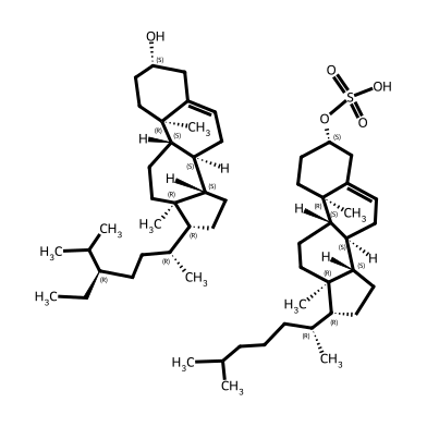 CC(C)CCC[C@@H](C)[C@H]1CC[C@H]2[C@@H]3CC=C4C[C@@H](OS(=O)(=O)O)CC[C@]4(C)[C@H]3CC[C@]12C.CC[C@H](CC[C@@H](C)[C@H]1CC[C@H]2[C@@H]3CC=C4C[C@@H](O)CC[C@]4(C)[C@H]3CC[C@]12C)C(C)C